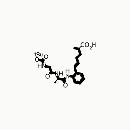 C[C@@H](CC/C=C/c1ccccc1NC(=O)[C@@H](C)NC(=O)CNC(=O)OC(C)(C)C)C(=O)O